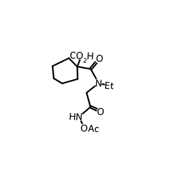 CCN(CC(=O)NOC(C)=O)C(=O)C1(C(=O)O)CCCCC1